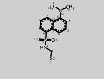 CC(=O)CNS(=O)(=O)c1cccc2c(N(C)C)cccc12